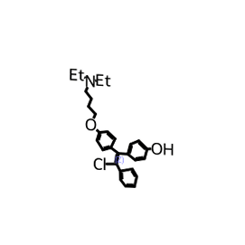 CCN(CC)CCCCOc1ccc(/C(=C(\Cl)c2ccccc2)c2ccc(O)cc2)cc1